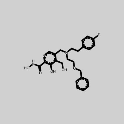 O=C(NO)c1ncc(CN(CCOCc2ccccc2)CCc2ccc(F)cc2)c(CO)c1O